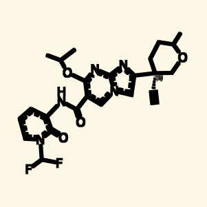 C#C[C@]1(c2cn3cc(C(=O)Nc4cccn(C(F)F)c4=O)c(OC(C)C)nc3n2)CCC(C)OC1